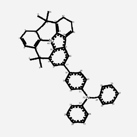 CC1(C)C2=C3C(CC=C2)C(C)(C)C2=c4c(c5cc(-c6ccc(N(c7ccccc7)c7ccccc7)cc6)cc1c5n43)=CCC2